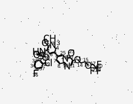 COc1ncc(-c2ccc3ncc(OCCOCC(F)(F)F)c(=O)n3c2)cc1NS(=O)(=O)c1ccc(F)cc1Cl